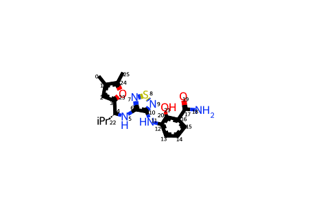 Cc1cc([C@H](Nc2nsnc2Nc2cccc(C(N)=O)c2O)C(C)C)oc1C